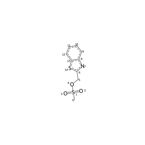 CS(=O)(=O)OCc1nc2ccccc2s1